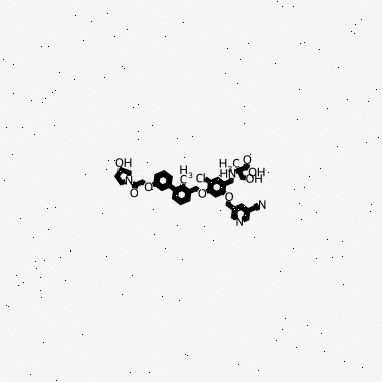 Cc1c(COc2cc(OCc3cncc(C#N)c3)c(CNC(C)(CO)C(=O)O)cc2Cl)cccc1-c1cccc(OCC(=O)N2CC[C@H](O)C2)c1